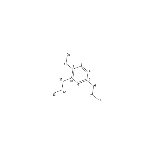 [CH2]Cc1ccc(CCC)cc1CCC